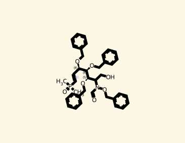 CP(C)(=O)/C=C/[C@@H](OCc1ccccc1)[C@@H](OCc1ccccc1)[C@@H](OCc1ccccc1)C(CO)N(C=O)OCc1ccccc1